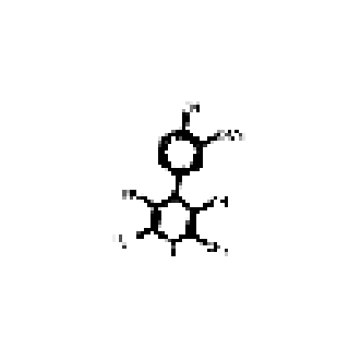 COc1cc(C2C(C#N)=C(C)NC(C)=C2C#N)ccc1O